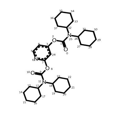 O=C(Oc1ccnc(OC(=O)N(C2CCCCC2)C2CCCCC2)c1)N(C1CCCCC1)C1CCCCC1